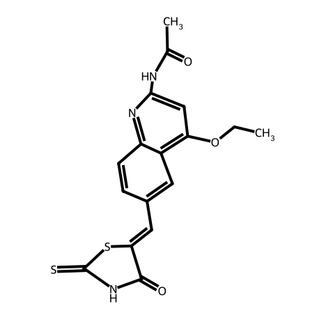 CCOc1cc(NC(C)=O)nc2ccc(/C=C3\SC(=S)NC3=O)cc12